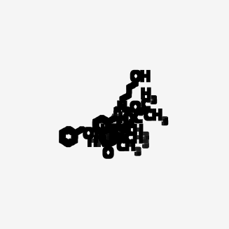 CC(C)(C)OC(=O)N(CCCCO)C[C@H](O[Si](C)(C)C(C)(C)C)c1ccc(OCc2ccccc2)c2[nH]c(=O)ccc12